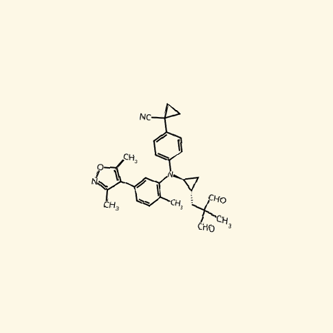 Cc1ccc(-c2c(C)noc2C)cc1N(c1ccc(C2(C#N)CC2)cc1)[C@H]1C[C@@H]1CC(C)(C=O)C=O